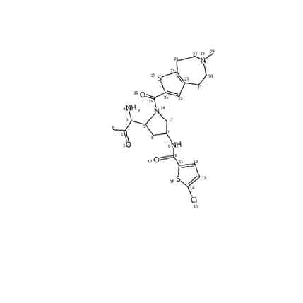 CC(=O)C(N)C1CC(NC(=O)c2ccc(Cl)s2)CN1C(=O)c1cc2c(s1)CCN(C)CC2